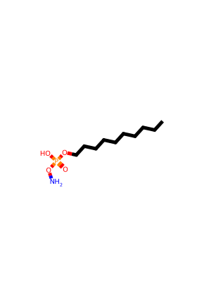 CCCCCCCCCCOP(=O)(O)ON